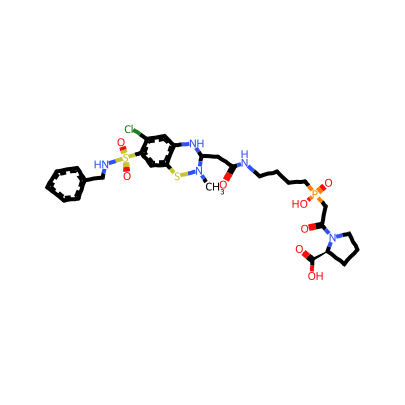 CN1Sc2cc(S(=O)(=O)NCc3ccccc3)c(Cl)cc2NC1CC(=O)NCCCCP(=O)(O)CC(=O)N1CCC[C@H]1C(=O)O